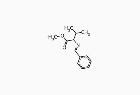 COC(=O)C(N=Cc1ccccc1)C(C)C